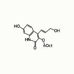 CCCCCCCCOc1c(C=CCO)c2ccc(O)cc2[nH]c1=O